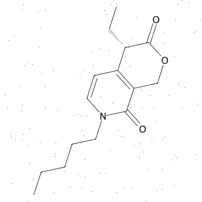 CCCCCn1ccc2c(c1=O)COC(=O)[C@H]2CC